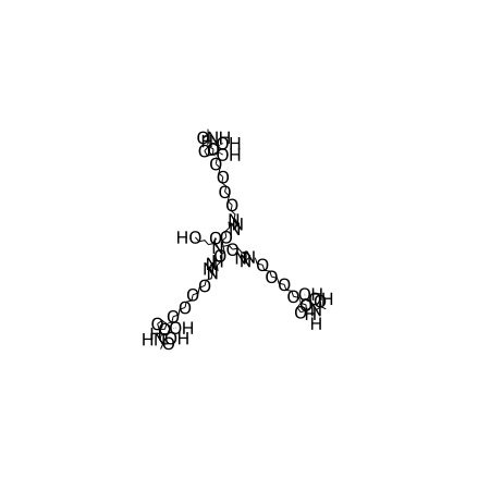 CC(=O)N[C@H]1[C@H]2OC[C@@](COCCOCCOCCOCCn3cc(COCC(COCc4cn(CCOCCOCCOCCOC[C@]56CO[C@@H](O5)[C@H](NC(C)=O)[C@@H](O)[C@H]6O)nn4)(COCc4cn(CCOCCOCCOCCOC[C@]56CO[C@@H](O5)[C@H](NC(C)=O)[C@@H](O)[C@H]6O)nn4)NC(=O)CCCO)nn3)(O2)[C@H](O)[C@@H]1O